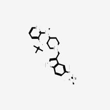 CN(c1ncccc1NC(C)(C)C)C1CCN(Cc2c[nH]c3ccc(NS(C)(=O)=O)cc23)CC1